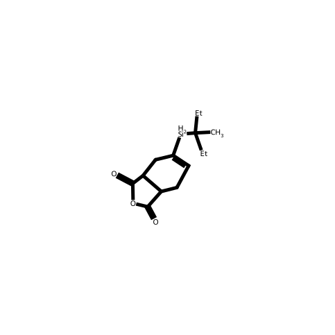 CCC(C)(CC)[SiH2]C1=CCC2C(=O)OC(=O)C2C1